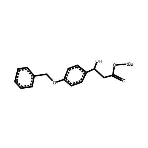 CC(C)(C)OC(=O)CC(O)c1ccc(OCc2ccccc2)cc1